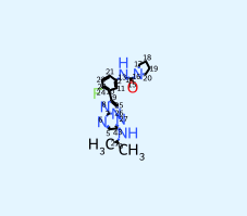 CC(C)Nc1cnc2nc(-c3cc(NC(=O)N4CCCC4)ccc3F)cn2n1